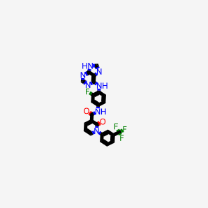 O=C(Nc1ccc(Nc2ncnc3[nH]cnc23)c(F)c1)c1cccn(-c2cccc(C(F)(F)F)c2)c1=O